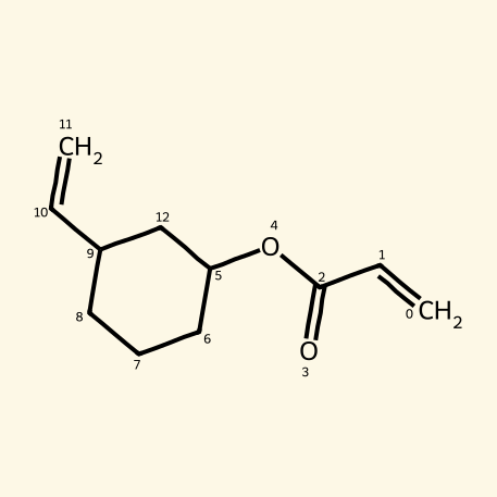 C=CC(=O)OC1CCCC(C=C)C1